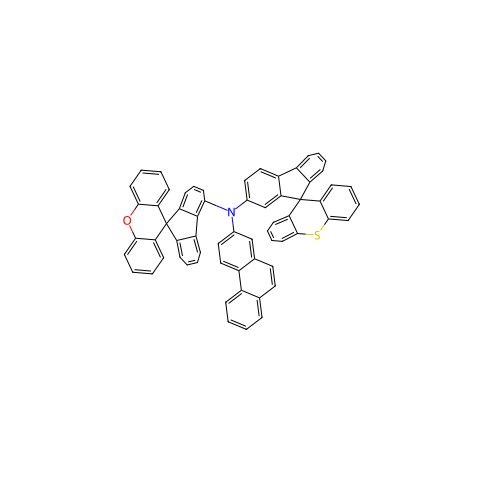 c1ccc2c(c1)Oc1ccccc1C21c2ccccc2-c2c(N(c3ccc4c(c3)C3(c5ccccc5Sc5ccccc53)c3ccccc3-4)c3ccc4c(ccc5ccccc54)c3)cccc21